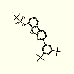 CC(C)(C)c1cc(-c2ccc3c(n2)oc2c(OS(=O)(=O)C(F)(F)F)cccc23)cc(C(C)(C)C)c1